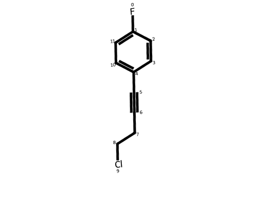 Fc1ccc(C#CCCCl)cc1